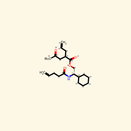 C=CCCC(=O)N[C@H](COC(=O)C(CC=C)CC(=O)OCC(C)C)C1CCCCC1